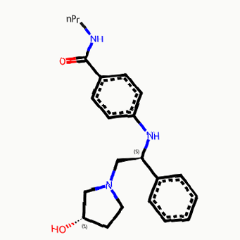 CCCNC(=O)c1ccc(N[C@H](CN2CC[C@H](O)C2)c2ccccc2)cc1